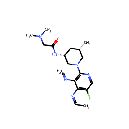 C=Nc1c(N2C[C@@H](C)C[C@@H](NC(=O)CN(C)C)C2)ncc(F)c1/N=C\C